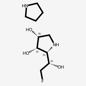 C1CCNC1.O[C@H]1[C@@H]([C@H](O)CF)NC[C@H]1O